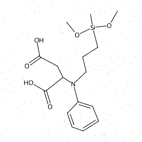 CO[Si](C)(CCCN(c1ccccc1)C(CC(=O)O)C(=O)O)OC